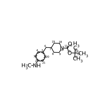 CNc1ccc(CC2CCN(C(=O)OC(C)(C)C)CC2)cc1